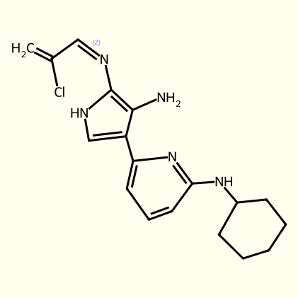 C=C(Cl)/C=N\c1[nH]cc(-c2cccc(NC3CCCCC3)n2)c1N